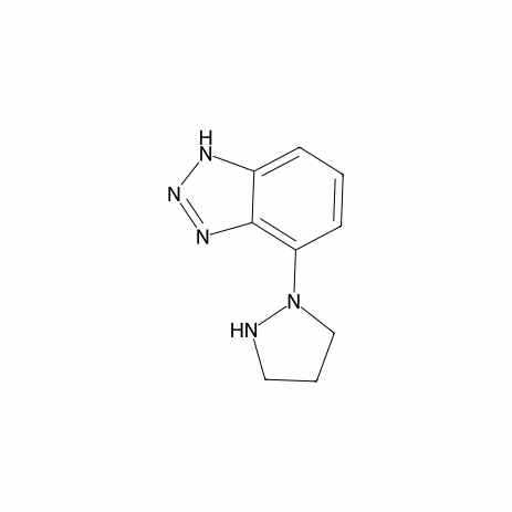 c1cc(N2CCCN2)c2nn[nH]c2c1